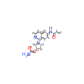 C=CC(=O)Nc1ccc2c(N3CCC(OC(N)=O)C3)nccc2c1